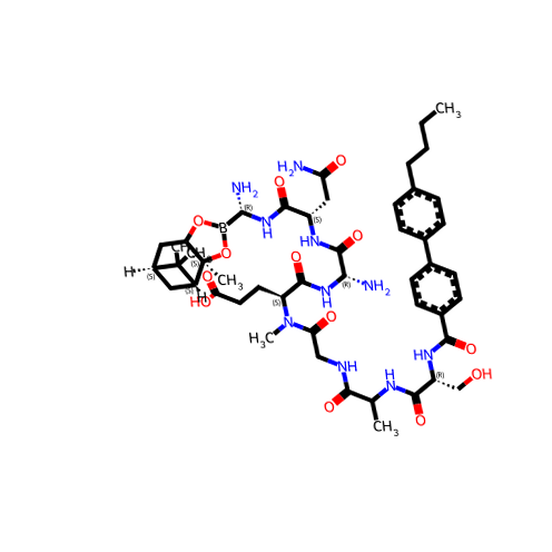 CCCCc1ccc(-c2ccc(C(=O)N[C@H](CO)C(=O)NC(C)C(=O)NCC(=O)N(C)[C@@H](CCC(=O)O)C(=O)N[C@@H](N)C(=O)N[C@@H](CC(N)=O)C(=O)N[C@@H](N)B3OC4C[C@@H]5C[C@@H](C5(C)C)[C@]4(C)O3)cc2)cc1